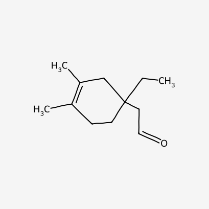 CCC1(CC=O)CCC(C)=C(C)C1